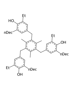 CCCCCCCCCCc1cc(Cc2c(C)c(Cc3cc(CC)c(O)c(CCCCCCCCCC)c3)c(C)c(Cc3cc(CC)c(O)c(CCCCCCCCCC)c3)c2C)cc(CC)c1O